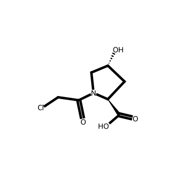 O=C(O)[C@@H]1C[C@@H](O)CN1C(=O)CCl